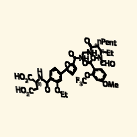 CCCCC[C@@H](C(=O)NCNC(=O)c1ccc(-c2ccc(C(=O)N[C@@H](CC(=O)O)C(=O)O)c(OCC)c2)o1)[C@@H](CC)N(C=O)OC(=O)c1ccc(OC)cc1OC(F)(F)F